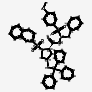 COc1ccc(S(=O)(=O)N(Cc2ccccc2)NC(=O)[C@@H]2C[C@@H](SC(c3ccccc3)(c3ccccc3)c3ccccc3)CN2S(=O)(=O)c2ccc3ccccc3c2)cc1